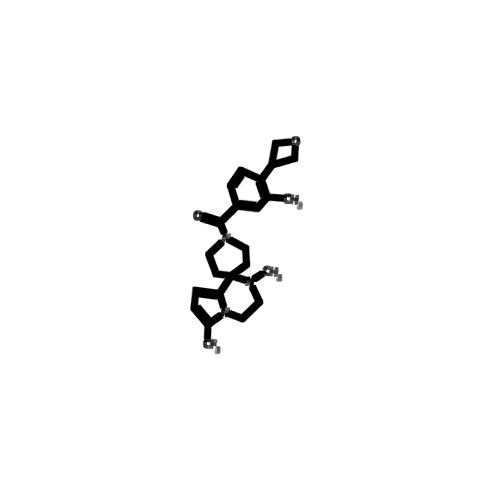 Cc1cc(C(=O)N2CCC3(CC2)c2ccc(C(F)(F)F)n2CCN3C)ccc1C1COC1